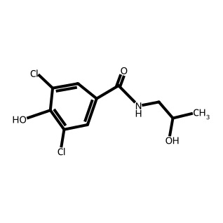 CC(O)CNC(=O)c1cc(Cl)c(O)c(Cl)c1